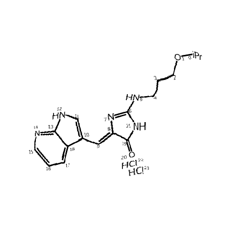 CC(C)OCCCNC1=NC(=Cc2c[nH]c3ncccc23)C(=O)N1.Cl.Cl